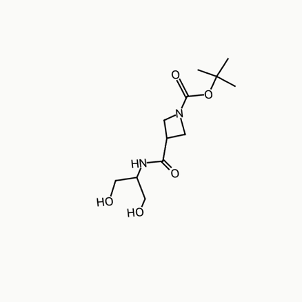 CC(C)(C)OC(=O)N1CC(C(=O)NC(CO)CO)C1